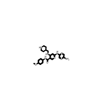 COc1ccc(NC(=O)c2cnc(Nc3cnc(N)cn3)cc2NCC2CCNCC2)cc1